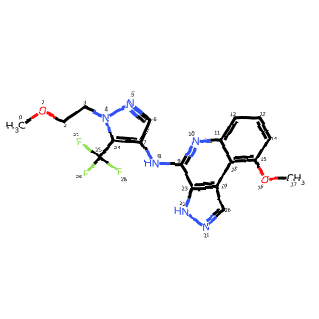 COCCn1ncc(Nc2nc3cccc(OC)c3c3cn[nH]c23)c1C(F)(F)F